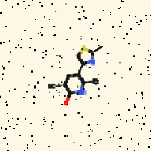 CCc1[nH]c(=O)c(C#N)cc1-c1csc(C)n1